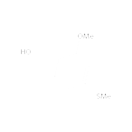 COc1cc(SC)ccc1CO